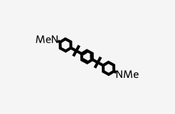 CNC1CCC(C(C)(C)c2ccc(C(C)(C)C3CCC(NC)CC3)cc2)CC1